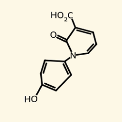 O=C(O)c1cccn(-c2ccc(O)cc2)c1=O